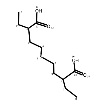 CCC(CCSCCC(CC)C(=O)O)C(=O)O